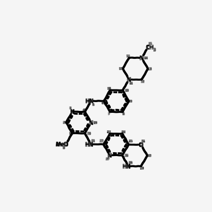 COc1cnc(Nc2cccc(N3CCN(C)CC3)c2)nc1Nc1ccc2c(n1)NCCO2